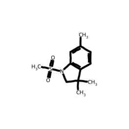 Cc1ccc2c(c1)N(S(C)(=O)=O)CC2(C)C